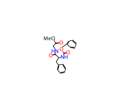 COC(=O)CNC(=O)C(Cc1ccccc1)NC(=O)OCc1ccccc1